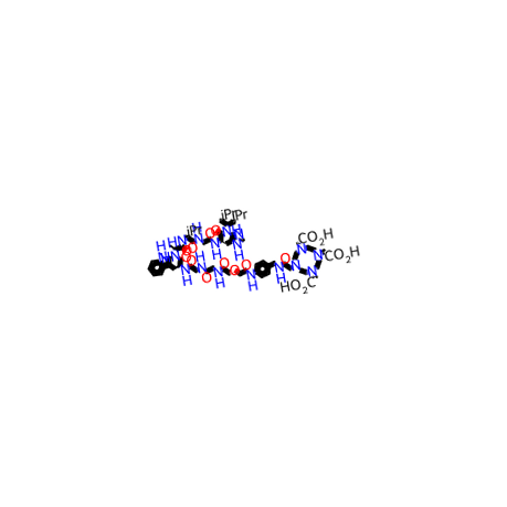 CC(C)CC(CC(C)C)NC(=O)[C@H](Cc1cnc[nH]1)NC(=O)CNC(=O)C(NC(=O)[C@H](C)NC(=O)[C@H](Cc1c[nH]c2ccccc12)NC(=O)CNC(=O)CNC(=O)COCC(=O)Nc1ccc(CNC(=O)CN2CCN(CC(=O)O)CCN(CC(=O)O)CCN(CC(=O)O)CC2)cc1)C(C)C